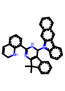 CC1(C)C2=C(c3ccccc31)C(n1c3ccccc3c3cc4ccccc4cc31)NC(c1cccc3c1NCC=C3)=N2